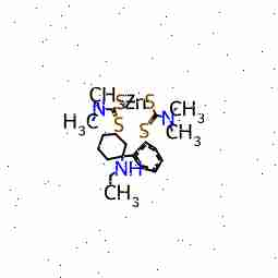 CCNC1(c2ccccc2)CCCCC1.CN(C)C(=S)[S][Zn][S]C(=S)N(C)C